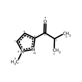 CC(C)C(=O)c1ccn(C)n1